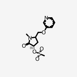 CN1C(=O)[C@@H](OS(C)(=O)=O)CC1COc1cccnc1